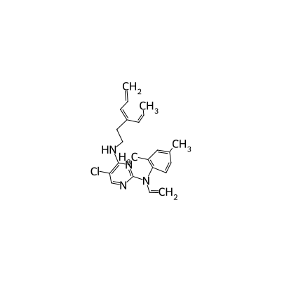 C=C/C=C(\C=C/C)CCNc1nc(N(C=C)c2ccc(C)cc2C)ncc1Cl